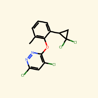 Cc1cccc(C2CC2(Cl)Cl)c1Oc1nnc(Cl)cc1Cl